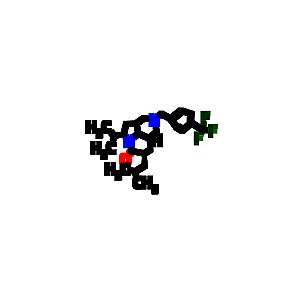 CC(C)C[C@@H]1C[C@@H]2CN(Cc3ccc(C(F)(F)F)cc3)CC3C[C@H](C(C)C)N(C1=O)C32